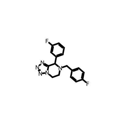 Fc1ccc(CN2CCn3nnnc3C2c2cccc(F)c2)cc1